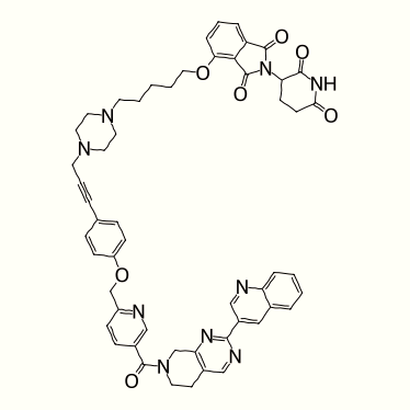 O=C1CCC(N2C(=O)c3cccc(OCCCCCN4CCN(CC#Cc5ccc(OCc6ccc(C(=O)N7CCc8cnc(-c9cnc%10ccccc%10c9)nc8C7)cn6)cc5)CC4)c3C2=O)C(=O)N1